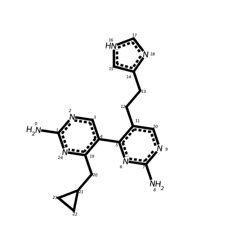 Nc1ncc(-c2nc(N)ncc2CCc2c[nH]cn2)c(CC2CC2)n1